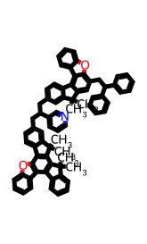 CC1(C)c2cc(CC(Cc3ccc4c(c3)C(C)(C)c3c5c(c6c(oc7ccccc76)c3-4)-c3ccccc3C5(C)C)c3cccnc3)ccc2-c2c1cc(CC(c1ccccc1)c1ccccc1)c1oc3ccccc3c21